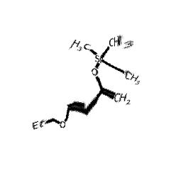 C=C(/C=C/OCC)O[Si](C)(C)C